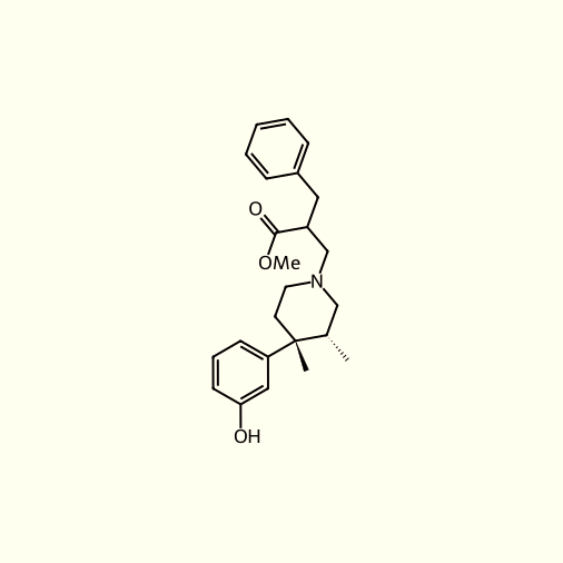 COC(=O)C(Cc1ccccc1)CN1CC[C@@](C)(c2cccc(O)c2)[C@@H](C)C1